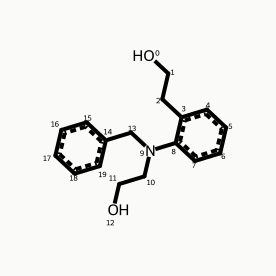 OCCc1ccccc1N(CCO)Cc1ccccc1